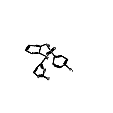 Cc1ccc(S(=O)(=O)Nc2ccccc2Nc2ccnc(Cl)n2)cc1